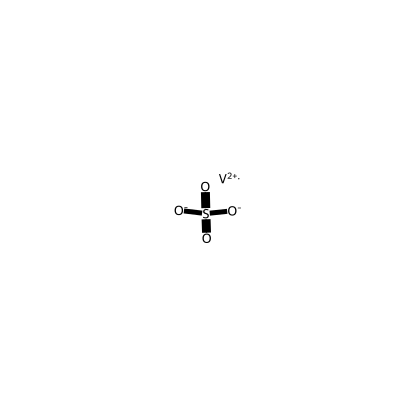 O=S(=O)([O-])[O-].[V+2]